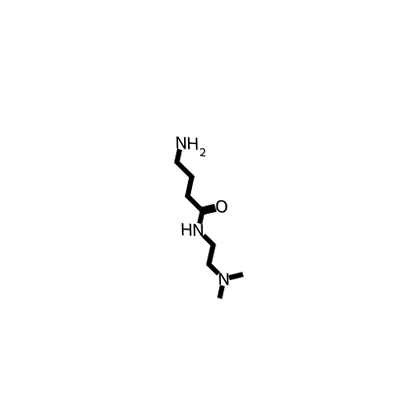 CN(C)CCNC(=O)CCCN